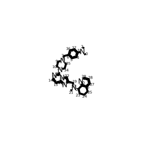 CN(C)c1ccc(CN2CCN(c3nccc4nc(CN(C)[C@H]5CCCc6cccnc65)cn34)CC2)cc1